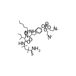 CCCCCC(=O)NC(Cc1ccc(OP(=O)(OCCN(C)C)OCCN(C)C)cc1)C(=O)NC(C(=O)NC(C)(C)CC(C)(C)C(N)=S)C(C)CC